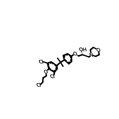 CC(C)(c1ccc(OC[C@H](O)CN2CCOCC2)cc1)c1cc(Cl)c(OCCCCl)c(Cl)c1